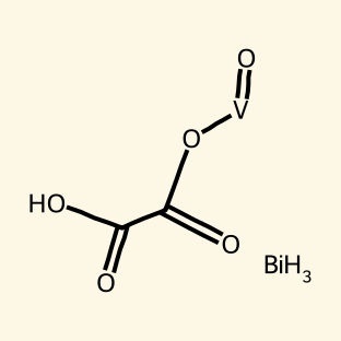 [BiH3].[O]=[V][O]C(=O)C(=O)O